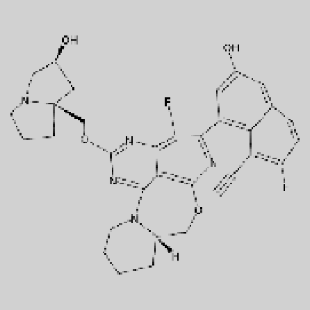 C#Cc1c(F)ccc2cc(O)cc(-c3nc4c5c(nc(OC[C@@]67CCCN6C[C@@H](O)C7)nc5c3F)N3CCCC[C@H]3CO4)c12